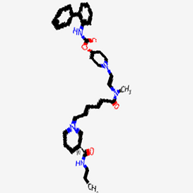 CCCNC(=O)[C@@H]1CCCN(CCCCCC(=O)N(C)CCN2CCC(OC(=O)Nc3ccccc3-c3ccccc3)CC2)C1